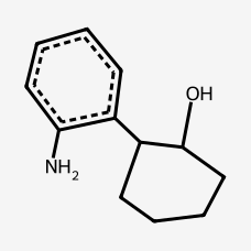 Nc1ccccc1C1CCCCC1O